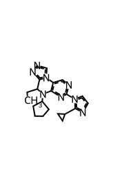 CCC1c2nncn2-c2cnc(-n3ccnc3C3CC3)nc2N1C1CCCC1